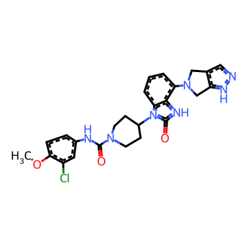 COc1ccc(NC(=O)N2CCC(n3c(=O)[nH]c4c(N5Cc6cn[nH]c6C5)cccc43)CC2)cc1Cl